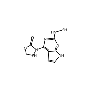 O=C1OCPN1c1nc(NS)nc2[nH]ccc12